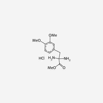 COC(=O)C(N)(N)Cc1ccc(OC)c(OC)c1.Cl